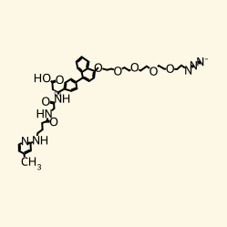 Cc1ccnc(NCCCC(=O)NCC(=O)N[C@@H](CC(=O)O)c2ccc(-c3ccc(OCCOCCOCCOCCOCCN=[N+]=[N-])c4ccccc34)cc2)c1